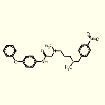 CN(CCCN(C)Cc1ccc([N+](=O)[O-])cc1)CC(=O)Nc1ccc(Oc2ccccc2)cc1